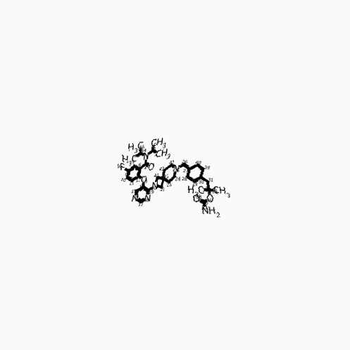 CC(C)N(C(=O)c1cc(F)ccc1Oc1cncnc1N1CC2(CCN(CC3CCC(CC(C)(C)OC(N)=O)CC3)CC2)C1)C(C)C